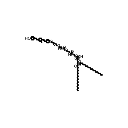 CCCCCCCCCCCCCCCCCC(=O)OCC(COP(=O)(O)OCCNC(=O)OCCOCC(=O)NCCOCCOCCOc1ccc(/C=C/c2ccc(/C=C/c3ccc(O)cc3)cc2C)cc1)OC(=O)CCCCCCCCCCCCCCCCC